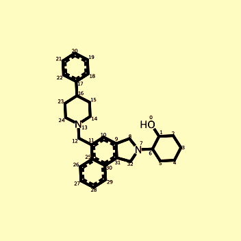 OC1CCCCC1N1Cc2cc(CN3CCC(c4ccccc4)CC3)c3ccccc3c2C1